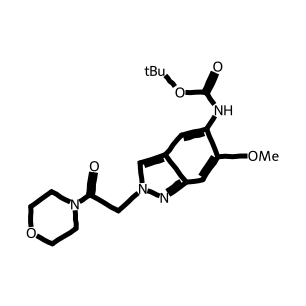 COc1cc2nn(CC(=O)N3CCOCC3)cc2cc1NC(=O)OC(C)(C)C